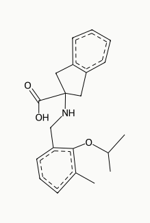 Cc1cccc(CNC2(C(=O)O)Cc3ccccc3C2)c1OC(C)C